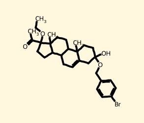 CCOC1(C(C)=O)CCC2C3CC=C4CC(O)(OCc5ccc(Br)cc5)CCC4(C)C3CCC21C